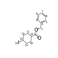 O=C(OCc1ccccc1)C1CCC(I)CC1